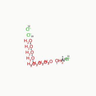 O.O.O.O.O.O.O.O.O.[Al+3].[Cl-].[Cl-].[Cl-]